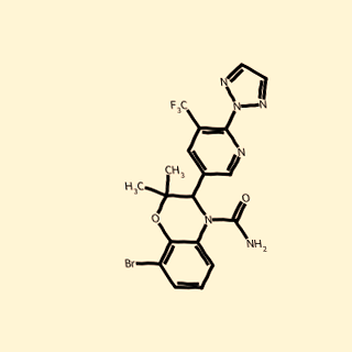 CC1(C)Oc2c(Br)cccc2N(C(N)=O)C1c1cnc(-n2nccn2)c(C(F)(F)F)c1